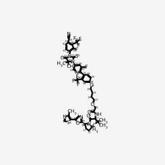 Cc1ncsc1-c1cnc([C@@H]2CCCN2C(=O)C(NC(=O)COCCCCOc2ccc(-c3ncc(N4C(=S)N(c5ccc(C#N)c(C(F)(F)F)c5F)C(=O)C4(C)C)cc3F)c(C(F)(F)F)c2)C(C)(C)C)o1